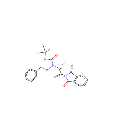 C=C([C@@H](C)N(OCc1ccccc1)C(=O)OC(C)(C)C)N1C(=O)c2ccccc2C1=O